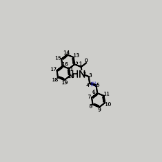 CC(NC/C=C/c1ccccc1)c1cccc2ccccc12